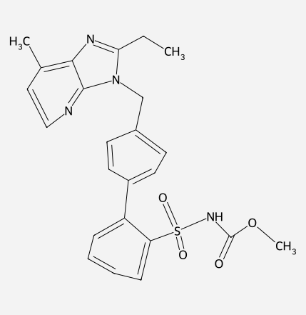 CCc1nc2c(C)ccnc2n1Cc1ccc(-c2ccccc2S(=O)(=O)NC(=O)OC)cc1